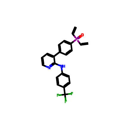 C=CP(=O)(C=C)c1ccc(-c2cccnc2Nc2ccc(C(F)(F)F)cc2)cc1